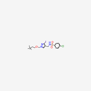 C[Si](C)(C)CCOCn1cc(CNS(=O)(=O)c2ccc(Cl)cc2)c(I)n1